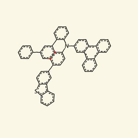 c1ccc(-c2cccc(-c3ccccc3N(c3ccc(-c4ccc5sc6ccccc6c5c4)cc3)c3ccc4c5ccccc5c5ccccc5c4c3)c2)cc1